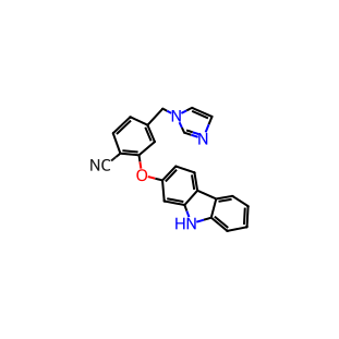 N#Cc1ccc(Cn2ccnc2)cc1Oc1ccc2c(c1)[nH]c1ccccc12